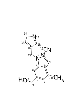 Cc1cc(CO)cc2c1cc(C#N)n2CC1=CCN=C1